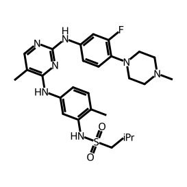 Cc1ccc(Nc2nc(Nc3ccc(N4CCN(C)CC4)c(F)c3)ncc2C)cc1NS(=O)(=O)CC(C)C